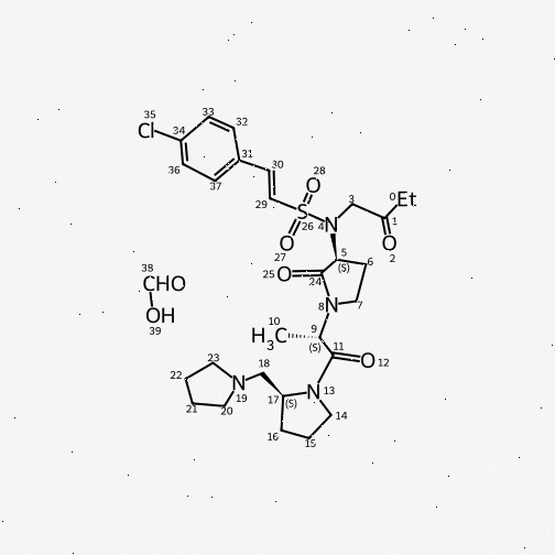 CCC(=O)CN([C@H]1CCN([C@@H](C)C(=O)N2CCC[C@H]2CN2CCCC2)C1=O)S(=O)(=O)C=Cc1ccc(Cl)cc1.O=CO